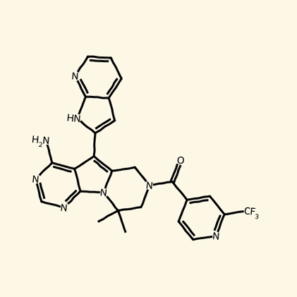 CC1(C)CN(C(=O)c2ccnc(C(F)(F)F)c2)Cc2c(-c3cc4cccnc4[nH]3)c3c(N)ncnc3n21